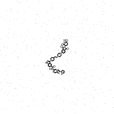 CN1CCC[C@@H]1c1cn2cc(NC(=O)c3ccc4c(c3)c(N3CCC(CCN5CCN(c6ccc7c(c6)C(=O)N(C6CCC(=O)NC6=O)C7=O)CC5)CC3)nn4C)ncc2n1